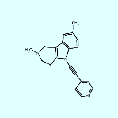 Cc1ccc2c(c1)c1c(n2C#Cc2ccncc2)CCN(C)C1